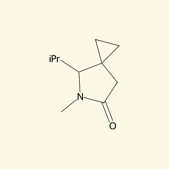 CC(C)C1N(C)C(=O)CC12CC2